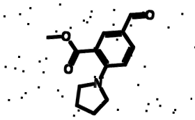 COC(=O)c1cc(C=O)ccc1N1CCCC1